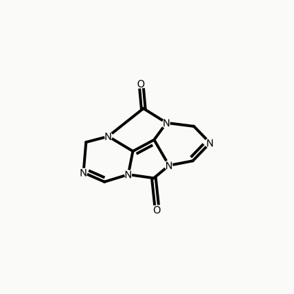 O=c1n2c3c4n1C=NCn4c(=O)n3CN=C2